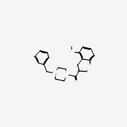 COc1cccc2c1CC(C(=O)N1CCN(Cc3ccccc3)CC1)CO2